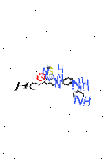 C#Cc1cc2cnc(Nc3ccc(NC4CCNCC4)cc3)nc2n(-c2nccs2)c1=O